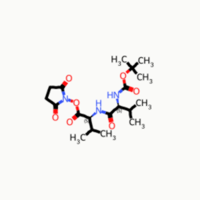 CC(C)[C@H](NC(=O)OC(C)(C)C)C(=O)N[C@H](C(=O)ON1C(=O)CCC1=O)C(C)C